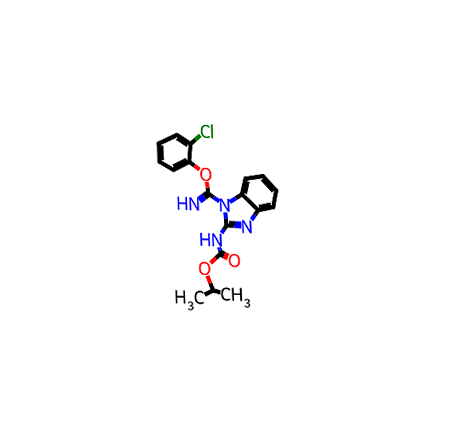 CC(C)OC(=O)Nc1nc2ccccc2n1C(=N)Oc1ccccc1Cl